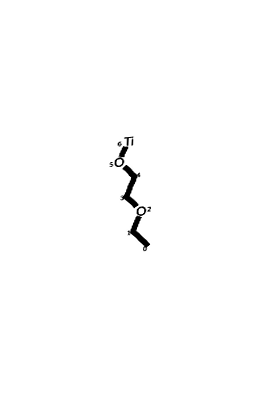 CCOCC[O][Ti]